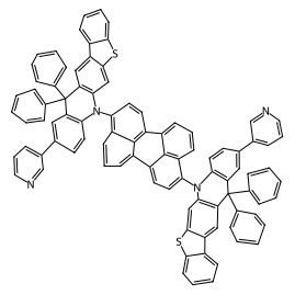 c1ccc(C2(c3ccccc3)c3cc(-c4cccnc4)ccc3N(c3ccc4c5cccc6c(N7c8ccc(-c9cccnc9)cc8C(c8ccccc8)(c8ccccc8)c8cc9c(cc87)sc7ccccc79)ccc(c7cccc3c74)c65)c3cc4sc5ccccc5c4cc32)cc1